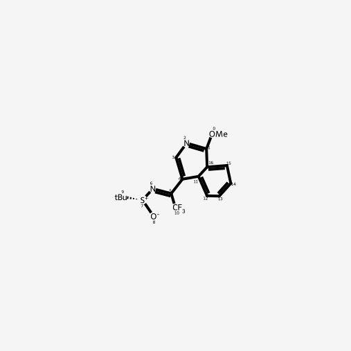 COc1ncc(/C(=N/[S@+]([O-])C(C)(C)C)C(F)(F)F)c2ccccc12